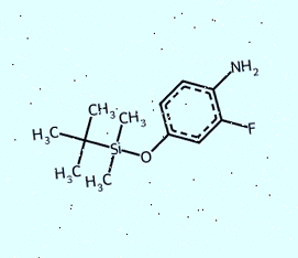 CC(C)(C)[Si](C)(C)Oc1ccc(N)c(F)c1